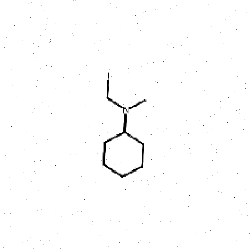 CN(CI)C1CCCCC1